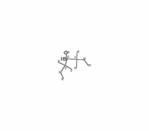 CCC(C)(C)[SiH]([O])C(C)(C)CC